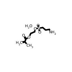 C=C(C)C(=O)OCCOS(=O)(=O)CCCN.O